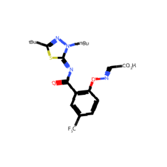 CCCCn1nc(C(C)(C)C)sc1=NC(=O)c1cc(C(F)(F)F)ccc1ON=CC(=O)O